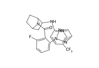 O=C(c1c(F)cccc1-n1nccn1)N1C2CCC1C(Nc1ccc(C(F)(F)F)cn1)C2